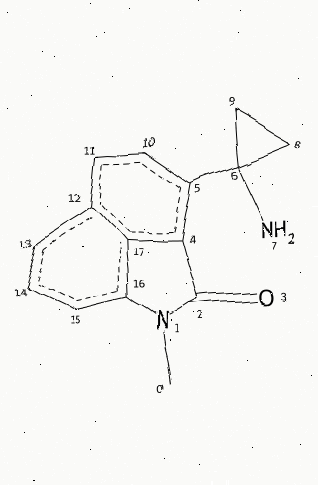 CN1C(=O)c2c(C3(N)CC3)ccc3cccc1c23